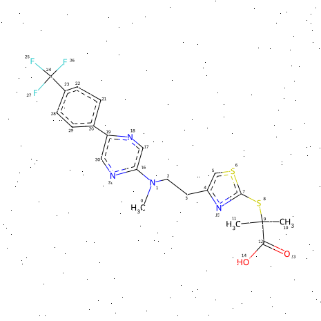 CN(CCc1csc(SC(C)(C)C(=O)O)n1)c1cnc(-c2ccc(C(F)(F)F)cc2)cn1